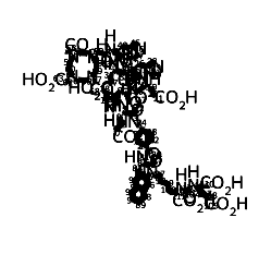 O=C(O)CCC[C@H](NC(=O)[C@H](Cc1c[nH]cn1)NC(=O)[C@H](CCC(=O)O)NC(=O)[C@H](Cc1cnc[nH]1)NC(=O)[C@H](CCC(=O)O)NC(=O)[C@H](Cc1cnc[nH]1)NC(=O)CN1CCN(CC(=O)O)CCN(CC(=O)O)CCN(CC(=O)O)CC1)C(=O)NC[C@H]1CC[C@H](C(=O)N[C@@H](Cc2ccc3ccccc3c2)C(=O)NCCCC[C@H](NC(=O)N[C@@H](CCC(=O)O)C(=O)O)C(=O)O)CC1